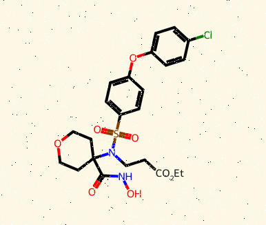 CCOC(=O)CCN(C1(C(=O)NO)CCOCC1)S(=O)(=O)c1ccc(Oc2ccc(Cl)cc2)cc1